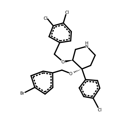 Clc1ccc([C@]2(OCc3ccc(Br)cc3)CCNC[C@@H]2OCc2ccc(Cl)c(Cl)c2)cc1